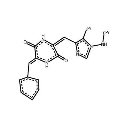 CCCNn1cnc(C=c2[nH]c(=O)c(=Cc3ccccc3)[nH]c2=O)c1C(C)C